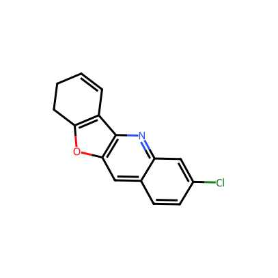 Clc1ccc2cc3oc4c(c3nc2c1)C=CCC4